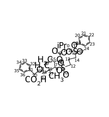 CC(C)OC(=O)OC(C)C(OS(=O)(=O)CCCS(=O)(=O)Oc1ccccc1)C(C)(C)[C@@H](OCc1ccccc1)C(=O)O